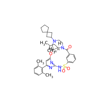 Cc1cccc(C)c1-c1cc2nc(n1)NS(=O)(=O)c1cccc(c1)C(=O)N1CCN(C3CC4(CCCC4)C3)C[C@@H](O2)[C@H]1CC(C)C